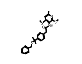 CSc1cc(C)nc(SC)c1NC(=O)Cc1ccc(C(C)(C)SCc2ccccc2)cc1